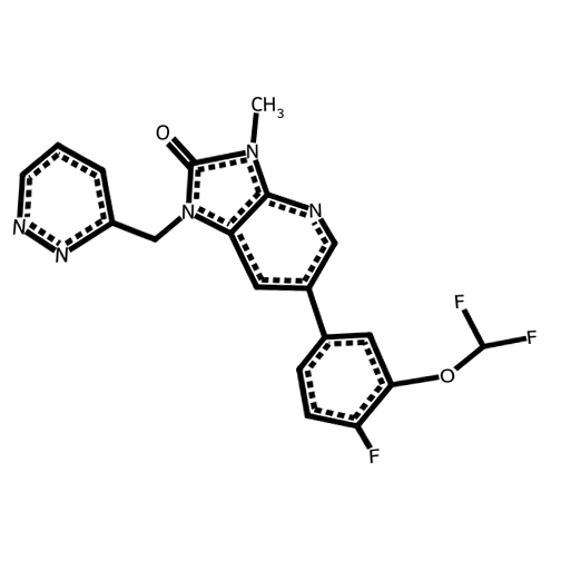 Cn1c(=O)n(Cc2cccnn2)c2cc(-c3ccc(F)c(OC(F)F)c3)cnc21